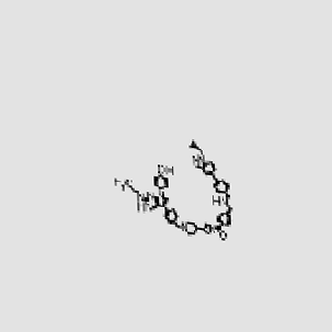 O=C(c1ccc(CNCc2ccc(-c3ccc4c(cnn4CC4CC4)c3)cc2)cc1)N1CC(C2CCN(Cc3ccc(-c4cn([C@H]5CC[C@H](O)CC5)c5nc(NCCC(F)(F)F)ncc45)cc3)CC2)C1